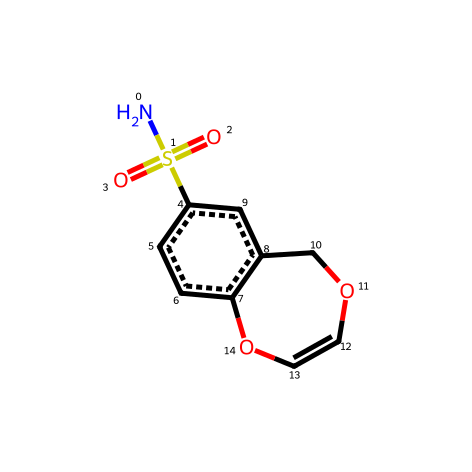 NS(=O)(=O)c1ccc2c(c1)COC=CO2